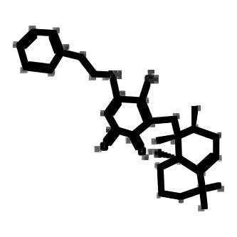 C[C@H]1CC=C2[C@@H](CCCC2(C)C)[C@]1(C)CC1=C(O)C(NCCc2ccccc2)=CC(=O)C1=O